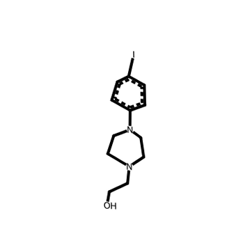 OCCN1CCN(c2ccc(I)cc2)CC1